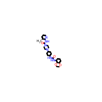 Cc1cccnc1NC(=O)N1CCN(c2ccc(NC(=O)Nc3cccc4c3OCCO4)cc2)CC1